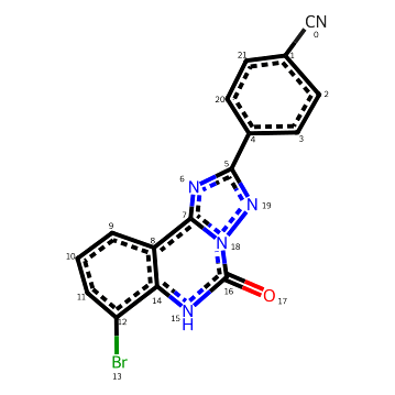 N#Cc1ccc(-c2nc3c4cccc(Br)c4[nH]c(=O)n3n2)cc1